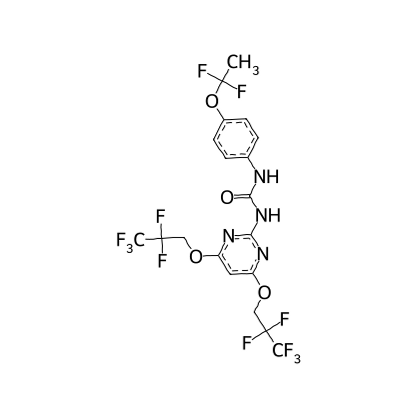 CC(F)(F)Oc1ccc(NC(=O)Nc2nc(OCC(F)(F)C(F)(F)F)cc(OCC(F)(F)C(F)(F)F)n2)cc1